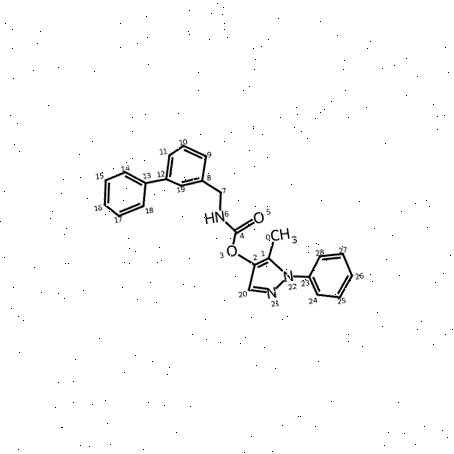 Cc1c(OC(=O)NCc2cccc(-c3ccccc3)c2)cnn1-c1ccccc1